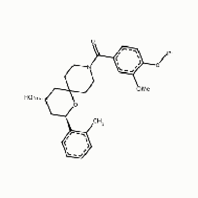 COc1cc(C(=O)N2CCC3(CC2)C[C@@H](O)C[C@H](c2ccccc2C)O3)ccc1OC(C)C